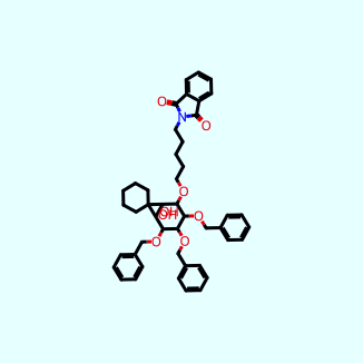 O=C1c2ccccc2C(=O)N1CCCCCOC1C(OCc2ccccc2)C(OCc2ccccc2)C(OCc2ccccc2)C2(O)C3(CCCCC3)C12O